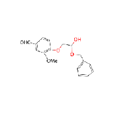 COc1cc(C=O)ccc1OCC(O)OCc1ccccc1